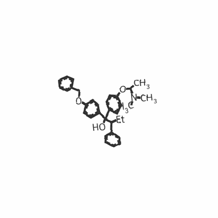 CCC(c1ccccc1)C(O)(c1ccc(OCc2ccccc2)cc1)c1ccc(OC(C)N(C)C)cc1